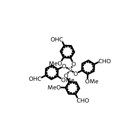 COc1cc(C=O)ccc1O[Si](Oc1ccc(C=O)cc1OC)(Oc1ccc(C=O)cc1OC)Oc1ccc(C=O)cc1OC